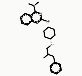 CC(CN[C@H]1CC[C@@H](Nc2nc(N(C)C)c3ccccc3n2)CC1)Cc1ccccc1